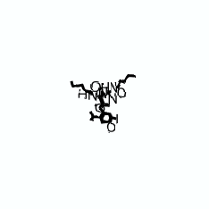 CCCCC(=O)Nc1ncc(Oc2cc(I)c(OC)cc2C(C)C)c(NC(=O)CCCC)n1